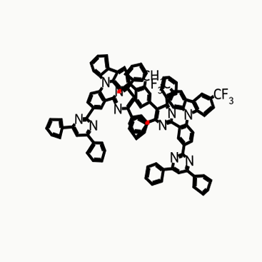 Cc1cc(-c2c(-c3ccccc3)nc(-c3cc(-c4nc(-c5ccccc5)cc(-c5ccccc5)n4)ccc3-n3c4ccc(C(F)(F)F)cc4c4cc(C(F)(F)F)ccc43)nc2-c2ccccc2)ccc1-c1ccc2c3ccccc3n(-c3ccc(-c4nc(-c5ccccc5)cc(-c5ccccc5)n4)cc3-c3nc(-c4ccccc4)cc(-c4ccccc4)n3)c2c1